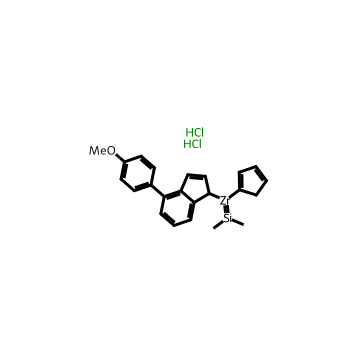 COc1ccc(-c2cccc3c2C=C[CH]3[Zr]([C]2=CC=CC2)=[Si](C)C)cc1.Cl.Cl